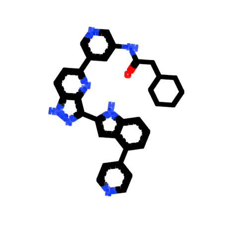 O=C(CC1CCCCC1)Nc1cncc(-c2ccc3[nH]nc(-c4cc5c(-c6ccncc6)cccc5[nH]4)c3n2)c1